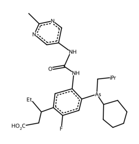 CCC(CC(=O)O)c1cc(NC(=O)Nc2cnc(C)nc2)c([As](CC(C)C)C2CCCCC2)cc1F